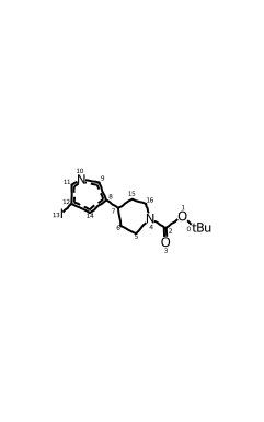 CC(C)(C)OC(=O)N1CCC(c2cncc(I)c2)CC1